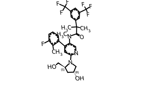 Cc1c(F)cccc1-c1cc(N2C[C@H](O)C[C@H]2CO)ncc1N(C)C(=O)C(C)(C)c1cc(C(F)(F)F)cc(C(F)(F)F)c1